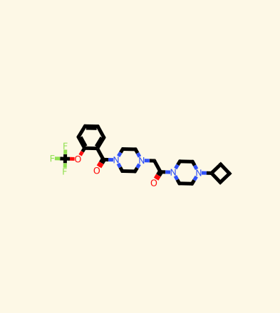 O=C(CN1CCN(C(=O)c2ccccc2OC(F)(F)F)CC1)N1CCN(C2CCC2)CC1